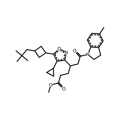 COC(=O)CCC(CC(=O)N1CCc2cc(C)ccc21)c1noc(C2CC(CC(C)(C)C)C2)c1C1CC1